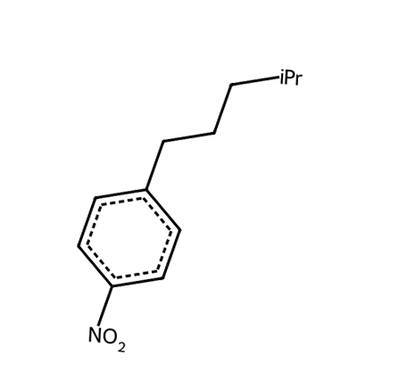 CC(C)CCCc1ccc([N+](=O)[O-])cc1